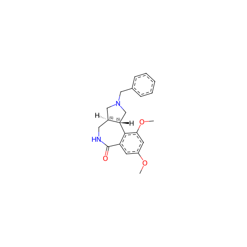 COc1cc(OC)c2c(c1)C(=O)NC[C@H]1CN(Cc3ccccc3)C[C@H]21